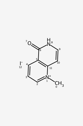 C[n+]1cccc2c(=O)[nH]ccc21.[I-]